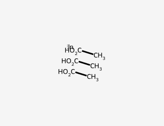 CC(=O)O.CC(=O)O.CC(=O)O.[In]